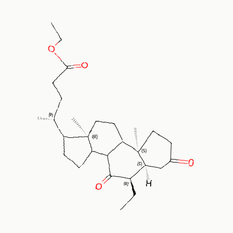 CCOC(=O)CC[C@@H](C)C1CCC2C3C(=O)[C@H](CC)[C@@H]4CC(=O)CC[C@]4(C)C3CC[C@@]21C